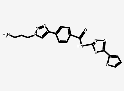 NCCCn1cc(-c2ccc(C(=O)Nc3nnc(-c4ccco4)s3)cc2)nn1